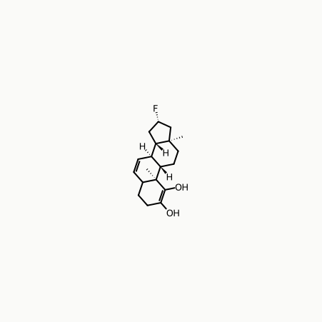 C[C@]12CC[C@H]3[C@@H](C=CC4CCC(O)=C(O)[C@@]43C)[C@@H]1C[C@H](F)C2